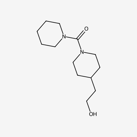 O=C(N1CCCCC1)N1CCC(CCO)CC1